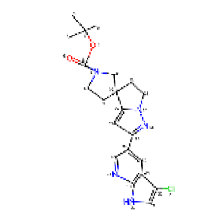 CC(C)(C)OC(=O)N1CCC2(CCn3nc(-c4cnc5[nH]cc(Cl)c5c4)cc32)C1